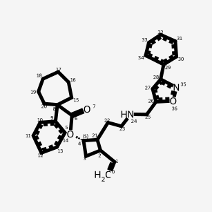 C=CC1C[C@H](OC(=O)C2(c3ccccc3)CCCCCC2)C1CCNCc1cc(-c2ccccc2)no1